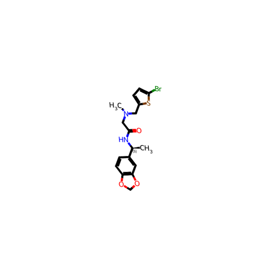 C[C@H](NC(=O)CN(C)Cc1ccc(Br)s1)c1ccc2c(c1)OCO2